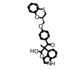 CC(C(=O)O)(C(=O)c1ccc(OC[C@@H]2CSc3ccccc3O2)cc1)c1cccc2[nH]ccc12